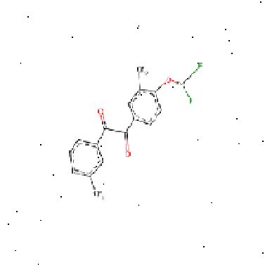 O=C(C(=O)c1ccc(OC(F)F)c(C(F)(F)F)c1)c1cccc(C(F)(F)F)c1